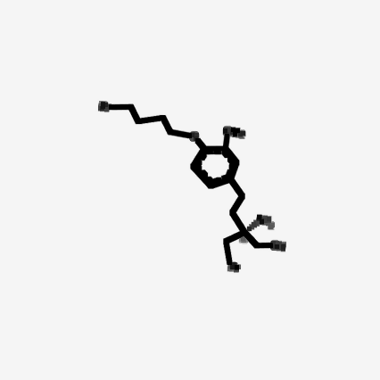 COc1cc(CC[C@@](N)(CO)CC(C)C)ccc1OCCCCC(C)C